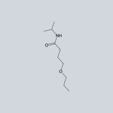 CCCOCCCC(=O)NC(C)C